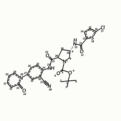 CC(C)(C)OC(=O)N1C[C@@H](NC(=O)c2ccc(Cl)s2)CC1C(=O)Nc1ccc(-n2ccccc2=O)cc1C#N